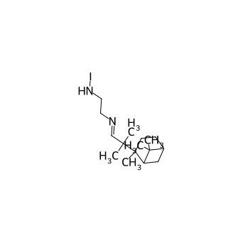 CC1(C)C2CCC(C)(C(C)(C)/C=N/CCNI)C1C2